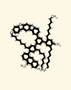 CCCCCCCCc1cc(-c2cc(-c3ccc4sc5cc6oc7ccccc7c6cc5c4c3)cc(-c3cc(CCCCCCCC)c(-c4cccc5c(C)c6ccccc6cc45)cc3CCCCCCCC)c2)c(CCCCCCCC)cc1C